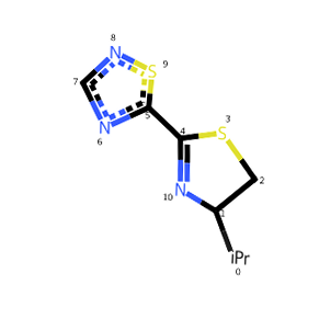 CC(C)C1CSC(c2ncns2)=N1